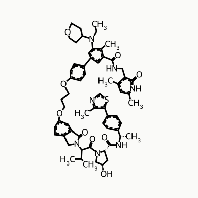 CCN(c1cc(-c2ccc(OCCCOc3ccc4c(c3)C(=O)N(C(C(=O)N3C[C@H](O)C[C@H]3C(=O)N[C@@H](C)c3ccc(-c5scnc5C)cc3)C(C)C)C4)cc2)cc(C(=O)NCc2c(C)cc(C)[nH]c2=O)c1C)C1CCOCC1